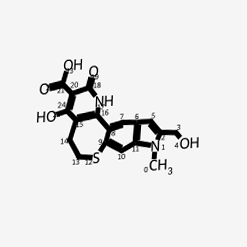 Cn1c(CO)cc2cc3c(cc21)SCCc1c-3[nH]c(=O)c(C(=O)O)c1O